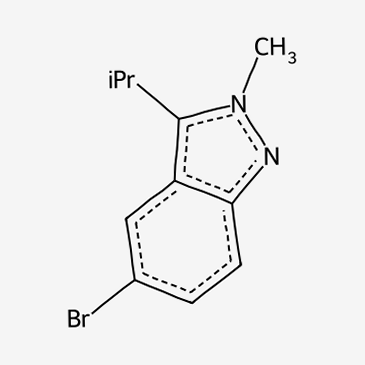 CC(C)c1c2cc(Br)ccc2nn1C